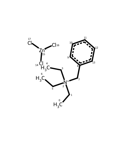 CC[N+](CC)(CC)Cc1ccccc1.[Cl][Zn-]([Cl])[Cl]